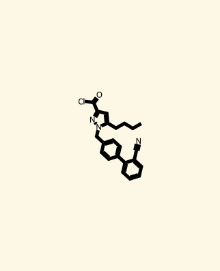 CCCCc1cc(C(=O)Cl)nn1Cc1ccc(-c2ccccc2C#N)cc1